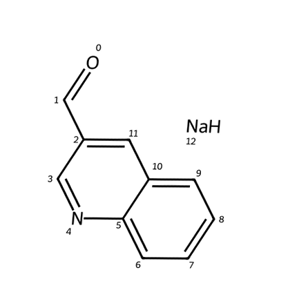 O=Cc1cnc2ccccc2c1.[NaH]